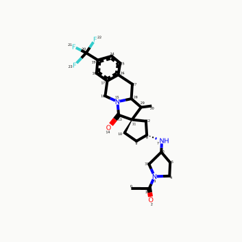 CC(=O)N1CCC(N[C@@H]2CC[C@@]3(C2)C(=O)N2Cc4cc(C(F)(F)F)ccc4CC2C3C)C1